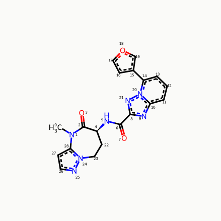 CN1C(=O)[C@@H](NC(=O)c2nc3cccc(-c4ccoc4)n3n2)CCn2nccc21